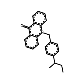 CCC(C)c1ccc(Cn2c3ccccc3c(=O)c3ccccc32)cc1